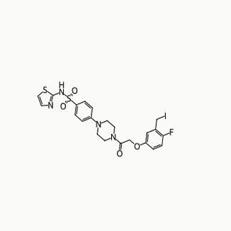 O=C(COc1ccc(F)c(CI)c1)N1CCN(c2ccc(S(=O)(=O)Nc3nccs3)cc2)CC1